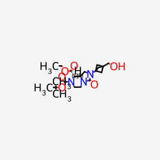 CCOC(=O)[C@@H]1[C@H]2CN(C34CC(CO)(C3)C4)C(=O)N2CCN1C(=O)OC(C)(C)C